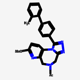 COc1ccc2c(n1)CN(C(C)=O)Cc1nnc(-c3ccc(-c4ccccc4C)cc3)n1-2